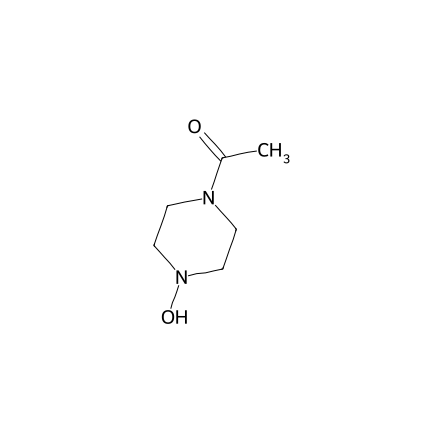 CC(=O)N1CCN(O)CC1